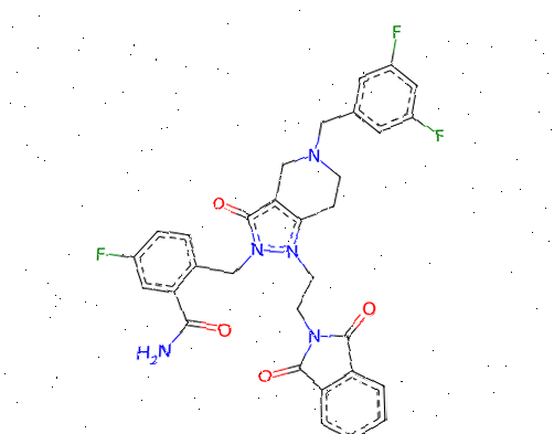 NC(=O)c1cc(F)ccc1Cn1c(=O)c2c(n1CCN1C(=O)c3ccccc3C1=O)CCN(Cc1cc(F)cc(F)c1)C2